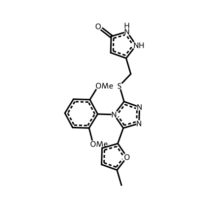 COc1cccc(OC)c1-n1c(SCc2cc(=O)[nH][nH]2)nnc1-c1ccc(C)o1